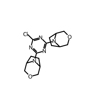 Clc1nc(N2C3CCC2COC3)nc(N2C3CCC2COC3)n1